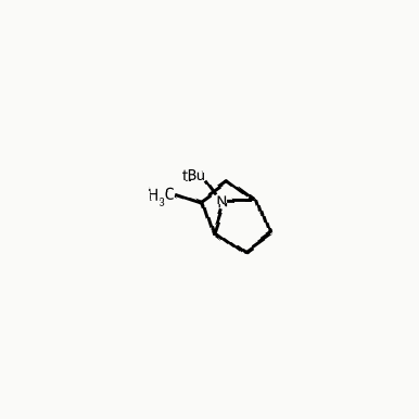 CC1CC2CCC1N2C(C)(C)C